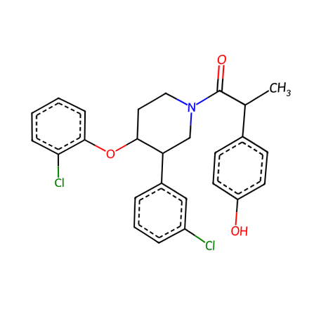 CC(C(=O)N1CCC(Oc2ccccc2Cl)C(c2cccc(Cl)c2)C1)c1ccc(O)cc1